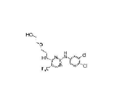 OCCOCCNc1nc(Nc2ccc(Cl)c(Cl)c2)ncc1C(F)(F)F